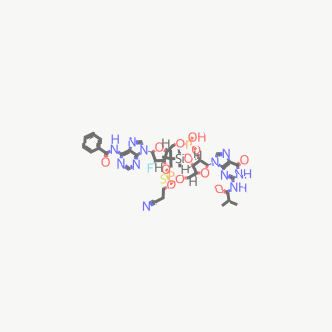 CC(C)C(=O)Nc1nc2c(ncn2[C@@H]2O[C@@H]3COP(=S)(OCCC#N)O[C@H]4[C@@H](F)[C@H](n5cnc6c(NC(=O)c7ccccc7)ncnc65)O[C@@H]4COP(O)O[C@@H]2[C@@H]3O[Si](C)(C)C(C)(C)C)c(=O)[nH]1